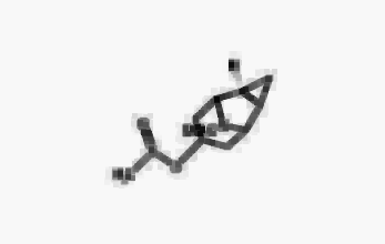 CCOC(=O)N1C2CC(OS(C)=O)CC1[C@H]1CC21